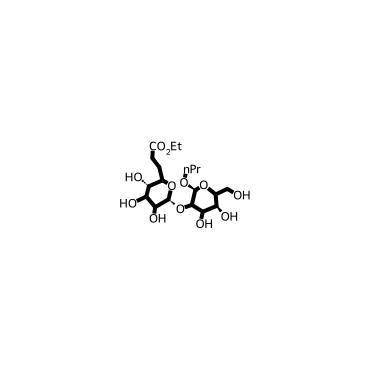 CCCO[C@H]1OC(CO)[C@@H](O)C(O)C1O[C@H]1OC(CCC(=O)OCC)[C@@H](O)C(O)C1O